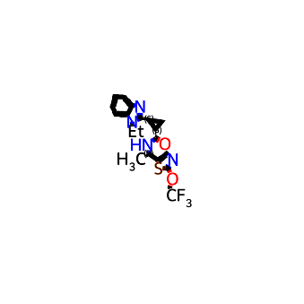 CCn1c([C@H]2C[C@@H]2C(=O)N[C@H](C)c2cnc(OCC(F)(F)F)s2)nc2ccccc21